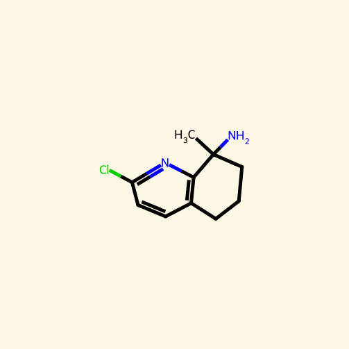 CC1(N)CCCc2ccc(Cl)nc21